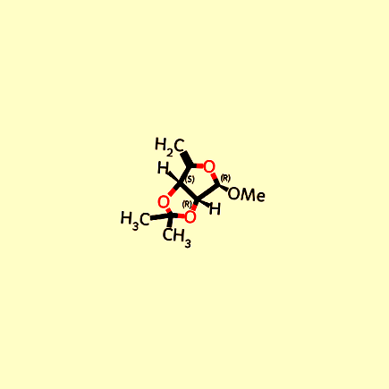 C=C1O[C@@H](OC)[C@@H]2OC(C)(C)O[C@H]12